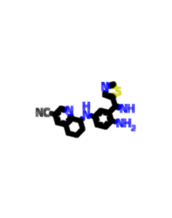 N#Cc1cnc2c(c1)CCCC2Nc1ccc(N)c(C(=N)c2cncs2)c1